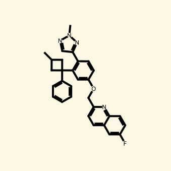 CC1CC(c2ccccc2)(c2cc(OCc3ccc4cc(F)ccc4n3)ccc2-c2cnn(C)n2)C1